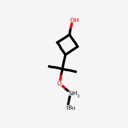 CC(C)(C)[SiH2]OC(C)(C)C1CC(O)C1